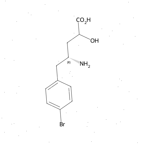 N[C@H](Cc1ccc(Br)cc1)CC(O)C(=O)O